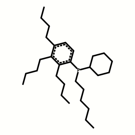 CCCCCCP(c1ccc(CCCC)c(CCCC)c1CCCC)C1CCCCC1